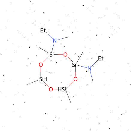 CCN(C)[Si]1(C)O[SiH](C)O[SiH](C)O[Si](C)(N(C)CC)O1